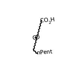 CCCCC/C=C\C/C=C\CCCCCCCC(=O)OCCCCCCCCCCCC(=O)O